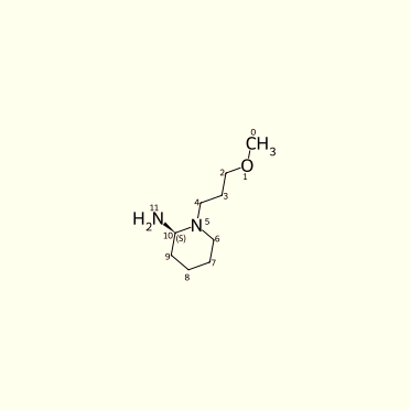 COCCCN1CCCC[C@H]1N